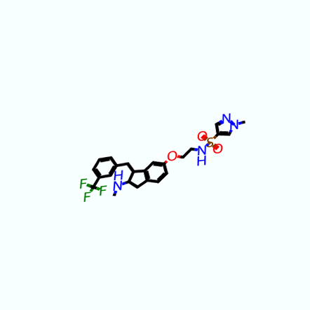 CNC1Cc2ccc(OCCNS(=O)(=O)c3cnn(C)c3)cc2C1Cc1cccc(C(F)(F)F)c1